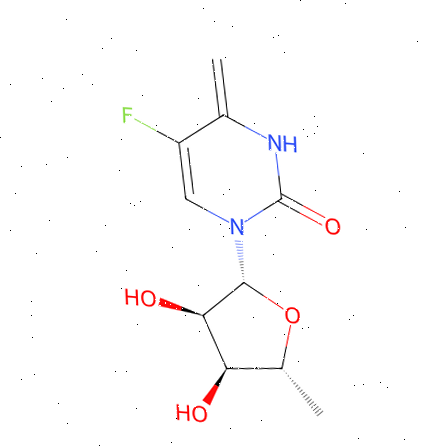 C=C1NC(=O)N([C@@H]2O[C@H](C)[C@@H](O)[C@H]2O)C=C1F